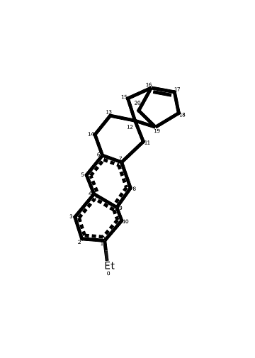 CCc1ccc2cc3c(cc2c1)CC1(CC3)CC2=CCC1C2